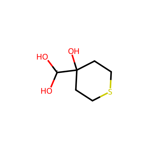 O[C](O)C1(O)CCSCC1